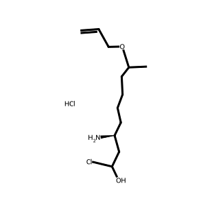 C=CCOC(C)CCCC[C@H](N)CC(O)Cl.Cl